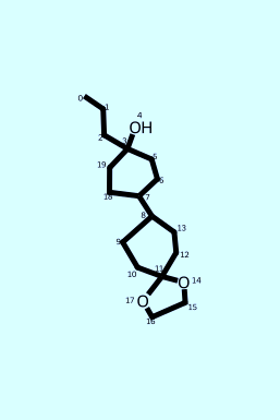 CCCC1(O)CCC(C2CCC3(CC2)OCCO3)CC1